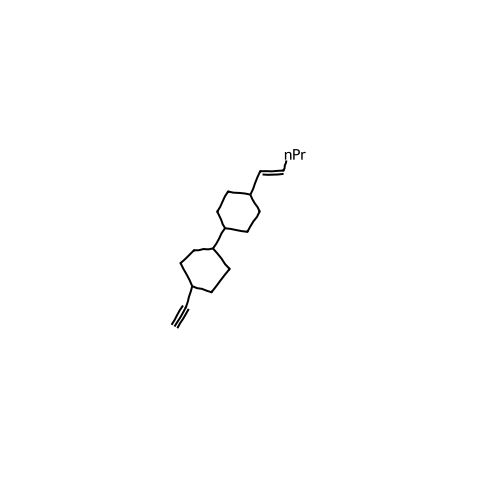 C#CC1CCC(C2CCC(C=CCCC)CC2)CC1